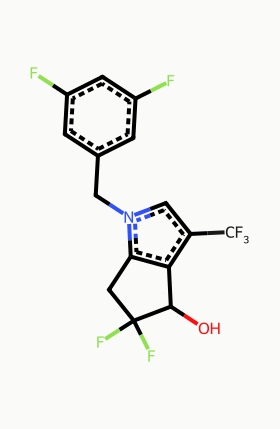 OC1c2c(C(F)(F)F)cn(Cc3cc(F)cc(F)c3)c2CC1(F)F